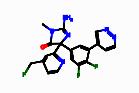 CN1C(=O)C(c2cc(F)c(F)c(-c3ccnnc3)c2)(c2cc(CF)ccn2)N=C1N